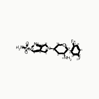 N[C@H]1C[C@@H](N2Cc3cn(S(N)(=O)=O)nc3C2)CO[C@@H]1c1cc(F)ccc1F